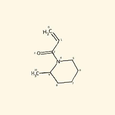 C=CC(=O)N1CCCCC1C